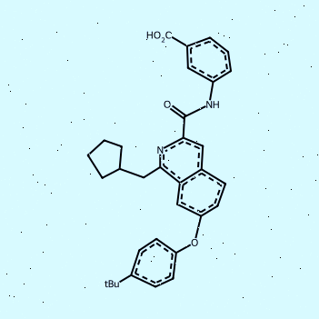 CC(C)(C)c1ccc(Oc2ccc3cc(C(=O)Nc4cccc(C(=O)O)c4)nc(CC4CCCC4)c3c2)cc1